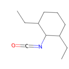 CCC1CCCC(CC)C1N=C=O